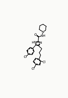 O=C(NN1CCCCC1)c1nc(CCCc2ccc(Cl)cc2Cl)c(-c2ccc(Cl)cc2)[nH]1